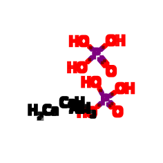 O=P(O)(O)O.O=P(O)(O)O.[AlH3].[CaH2].[CaH2]